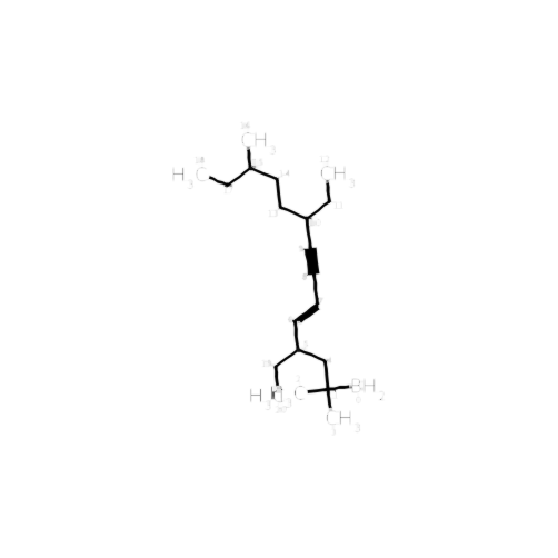 BC(C)(C)CC(/C=C/C#CC(CC)CCC(C)CC)CC